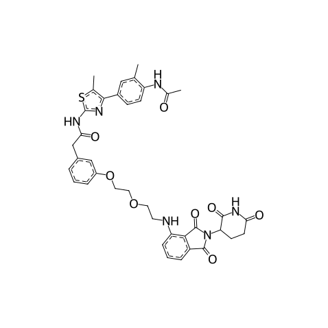 CC(=O)Nc1ccc(-c2nc(NC(=O)Cc3cccc(OCCOCCNc4cccc5c4C(=O)N(C4CCC(=O)NC4=O)C5=O)c3)sc2C)cc1C